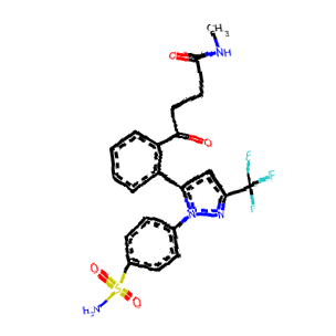 CNC(=O)CCC(=O)c1ccccc1-c1cc(C(F)(F)F)nn1-c1ccc(S(N)(=O)=O)cc1